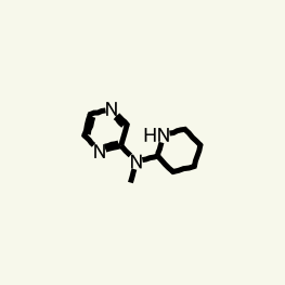 CN(c1cnccn1)C1CCCCN1